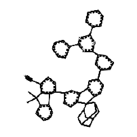 CC1(C)c2ccccc2-c2c(-c3ccc4c(c3)-c3cc(-c5cccc(-c6nc(-c7ccccc7)nc(-c7ccccc7)n6)c5)ccc3C43C4CC5CC(C4)CC3C5)ccc(C#N)c21